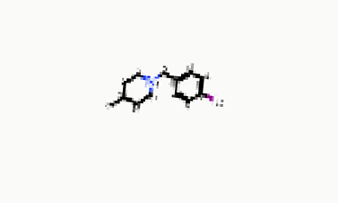 CC1CCN(Cc2ccc(I)cc2)CC1